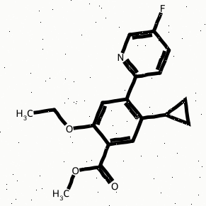 CCOc1cc(-c2ccc(F)cn2)c(C2CC2)cc1C(=O)OC